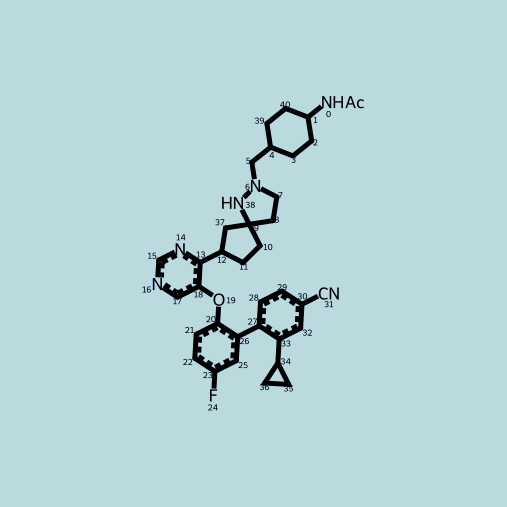 CC(=O)NC1CCC(CN2CCC3(CCC(c4ncncc4Oc4ccc(F)cc4-c4ccc(C#N)cc4C4CC4)C3)N2)CC1